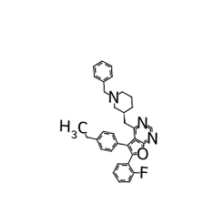 CCc1ccc(-c2c(-c3ccccc3F)oc3ncnc(C[C@@H]4CCCN(Cc5ccccc5)C4)c23)cc1